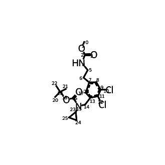 COC(=O)NCCc1cc(Cl)c(Cl)c(CN(C(=O)OC(C)(C)C)C2CC2)c1